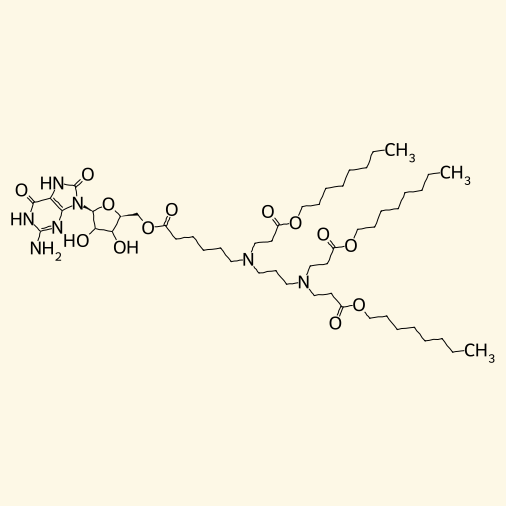 CCCCCCCCOC(=O)CCN(CCCCCC(=O)OC[C@@H]1O[C@H](n2c(=O)[nH]c3c(=O)[nH]c(N)nc32)C(O)C1O)CCCN(CCC(=O)OCCCCCCCC)CCC(=O)OCCCCCCCC